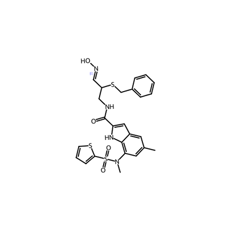 Cc1cc(N(C)S(=O)(=O)c2cccs2)c2[nH]c(C(=O)NCC(/C=N/O)SCc3ccccc3)cc2c1